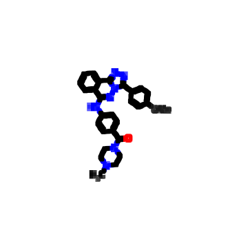 COc1ccc(-c2nnc3c4ccccc4c(Nc4ccc(C(=O)N5CCN(C)CC5)cc4)nn23)cc1